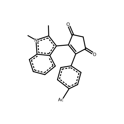 CC(=O)c1ccc(C2=C(c3c(C)n(C)c4ccccc34)C(=O)CC2=O)cc1